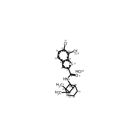 CC1(C)C(NC(=O)c2cc3ccc(Cl)c(C(F)(F)F)c3s2)C2CCN1CC2.Cl